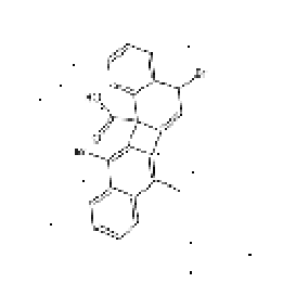 Cc1c2c(c(Br)c3ccccc13)C1(C(=O)O)C2=CC(Br)c2ccccc21